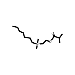 CCCCCCC[N+](C)(C)CCOC(=O)C(C)C